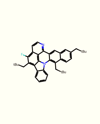 CC(C)(C)Cc1ccc2c(CC(C)(C)C)c3c(cc2c1)c1nccc2c(F)c(CC(C)(C)C)c4c5ccccc5n3c4c21